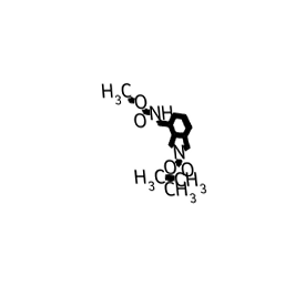 CCOC(=O)NCC1CC=CC2CN(C(=O)OC(C)(C)C)CC21